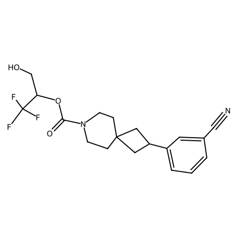 N#Cc1cccc(C2CC3(CCN(C(=O)OC(CO)C(F)(F)F)CC3)C2)c1